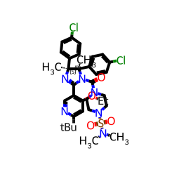 CCOc1cc(C(C)(C)C)ncc1C1=N[C@@](C)(c2ccc(Cl)cc2)[C@@](C)(c2ccc(Cl)cc2)N1C(=O)N1CCN(S(=O)(=O)N(C)C)CC1